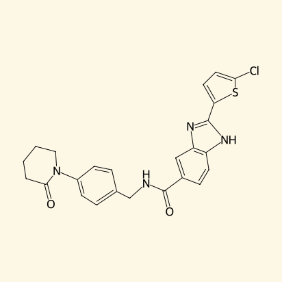 O=C(NCc1ccc(N2CCCCC2=O)cc1)c1ccc2[nH]c(-c3ccc(Cl)s3)nc2c1